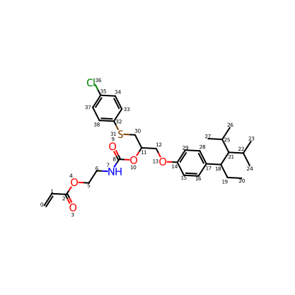 C=CC(=O)OCCNC(=O)OC(COc1ccc(C(CC)C(C(C)C)C(C)C)cc1)CSc1ccc(Cl)cc1